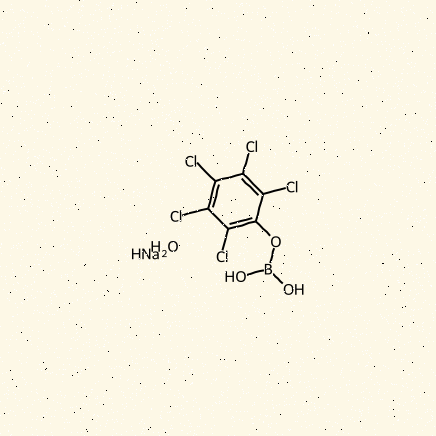 O.OB(O)Oc1c(Cl)c(Cl)c(Cl)c(Cl)c1Cl.[NaH]